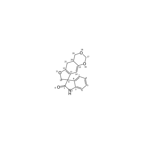 O=C1Nc2ccccc2C12COC1=C2C=C2OCOCC2C1